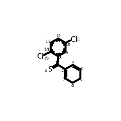 S=C(C1=CCCC=C1)c1cc(Cl)ccc1Cl